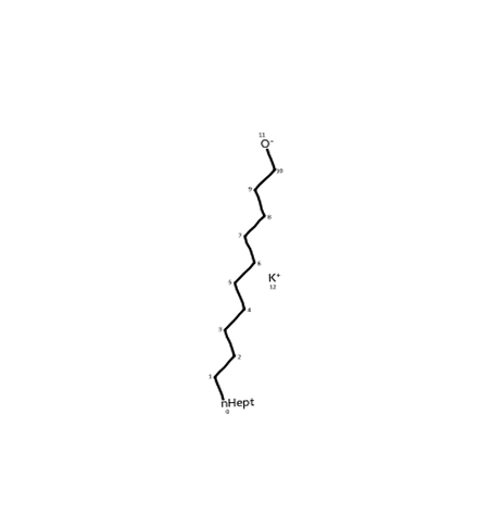 CCCCCCCCCCCCCCCCC[O-].[K+]